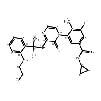 Cc1c(F)cc(C(=O)NC2CC2)cc1-n1ccnc(NC(C)(C)c2ccccc2OCCCl)c1=O